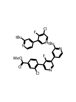 CC(C)(C)c1cc(-c2cncc(Cl)c2F)ccn1.COC(=O)c1ccc(-c2cncc(-c3ccnc(C(C)(C)C)c3)c2F)c(Cl)c1